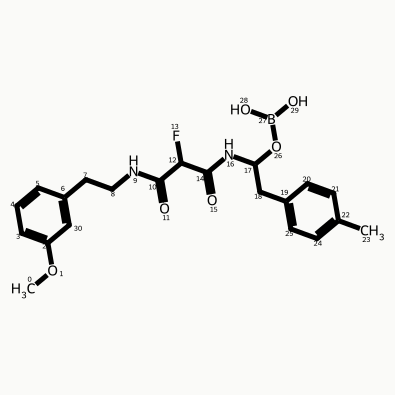 COc1cccc(CCNC(=O)C(F)C(=O)NC(Cc2ccc(C)cc2)OB(O)O)c1